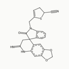 N#CC1CC=C(CN2C(=O)C3(CC(=N)Nc4cc5c(cc43)OCO5)c3ccccc32)S1